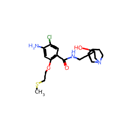 CSCCOc1cc(N)c(Cl)cc1C(=O)NCC1(O)CN2CCC1CC2